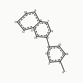 [CH2]c1ccc(-c2ccc3ccccc3c2)cc1